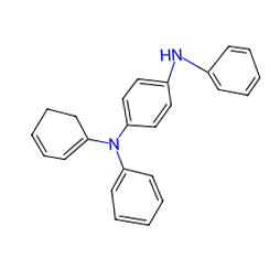 C1=CCCC(N(c2ccccc2)c2ccc(Nc3ccccc3)cc2)=C1